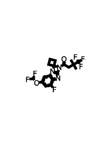 CC(C)(CC(=O)N1c2nc3c(F)cc(OC(F)F)cc3n2C12CCC2)C(F)(F)F